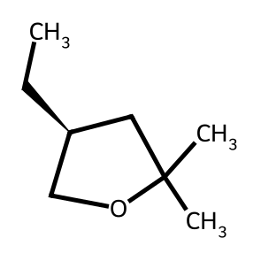 CC[C@@H]1COC(C)(C)C1